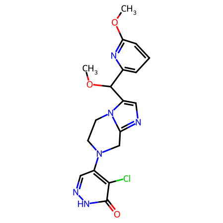 COc1cccc(C(OC)c2cnc3n2CCN(c2cn[nH]c(=O)c2Cl)C3)n1